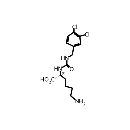 NCCCC[C@@H](NC(=O)NCc1ccc(Cl)c(Cl)c1)C(=O)O